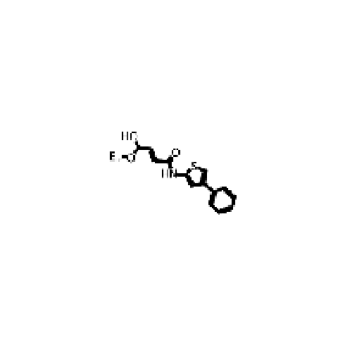 CCOC(O)/C=C/C(=O)Nc1cc(-c2ccccc2)cs1